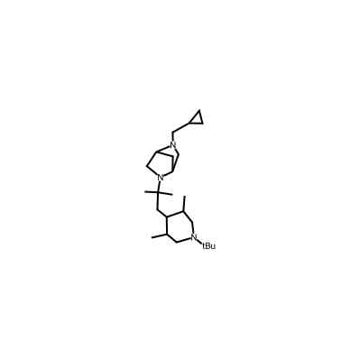 CC1CN(C(C)(C)C)CC(C)C1CC(C)(C)N1CC2CC1CN2CC1CC1